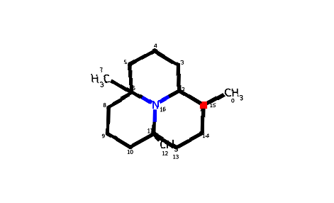 CCC12CCCC3(C)CCCC(C)(CCC1)N32